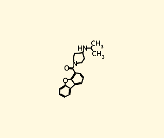 CC(C)NC1CCN(C(=O)c2cccc3c2oc2ccccc23)CC1